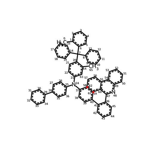 Cc1ccccc1C(c1ccccc1)(c1ccccc1)c1ccc(N(c2ccc(-c3ccccc3)cc2)c2ccc(-c3ccccc3-c3nc4ccccc4c4ccccc34)cc2)cc1C